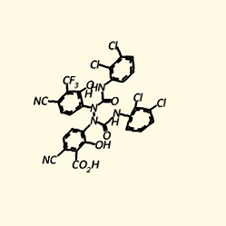 N#Cc1ccc(N(C(=O)Nc2cccc(Cl)c2Cl)N(C(=O)Nc2cccc(Cl)c2Cl)c2ccc(C#N)c(C(F)(F)F)c2O)c(O)c1C(=O)O